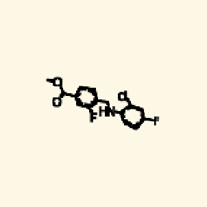 COC(=O)c1ccc(CNc2ccc(F)cc2Cl)c(F)c1